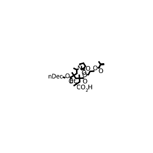 C=C(C)C(=O)OCC(O)COC(=O)C(C)(CC(C)(CC)C(=O)O)CC(C)(CC(C)N1CCCC1=O)C(=O)OCCCCCCCCCCC